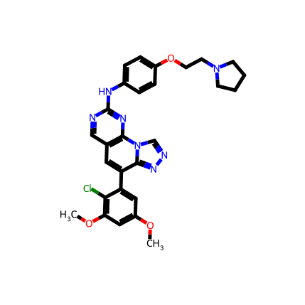 COc1cc(OC)c(Cl)c(-c2cc3cnc(Nc4ccc(OCCN5CCCC5)cc4)nc3n3cnnc23)c1